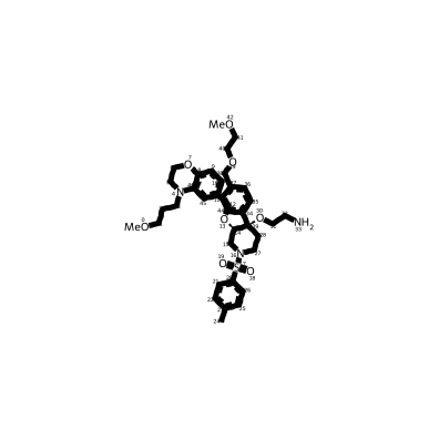 COCCCN1CCOc2ccc(CO[C@H]3CN(S(=O)(=O)c4ccc(C)cc4)CC[C@]3(OCCN)c3ccc(COCCOC)cc3)cc21